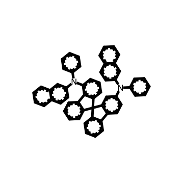 c1ccc(N(c2ccc3c(c2)C2(c4ccccc4-3)c3ccccc3-c3c(N(c4ccccc4)c4ccc5ccccc5c4)cccc32)c2ccc3ccccc3c2)cc1